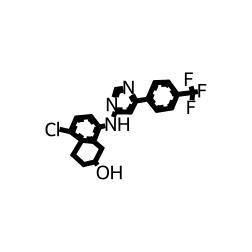 OC1CCc2c(Cl)ccc(Nc3cc(-c4ccc(C(F)(F)F)cc4)ncn3)c2C1